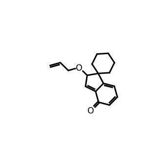 C=CCOC1C=C2C(=O)C=CC=C2C12CCCCC2